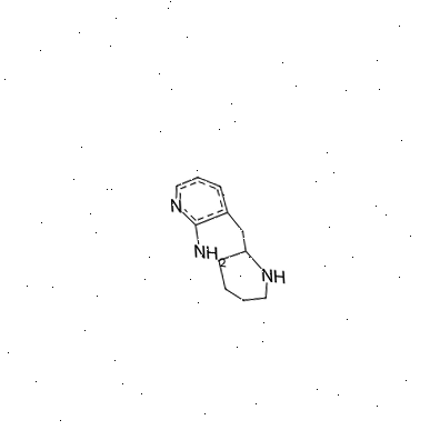 Nc1ncccc1CC1CCCCN1